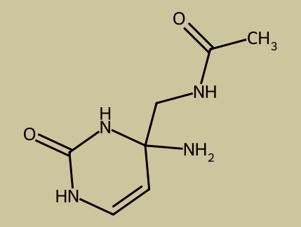 CC(=O)NCC1(N)C=CNC(=O)N1